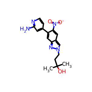 CC(C)(O)CCn1cc2cc([N+](=O)[O-])c(-c3ccnc(N)c3)cc2n1